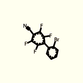 N#Cc1c(F)c(F)c(-c2ccccc2Br)c(F)c1F